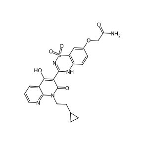 NC(=O)COc1ccc2c(c1)S(=O)(=O)N=C(c1c(O)c3cccnc3n(CCC3CC3)c1=O)N2